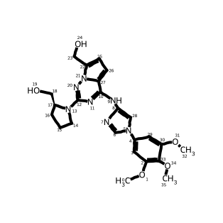 COc1cc(-n2cnc(Nc3nc(N4CCC[C@H]4CO)nn4c(CO)ccc34)c2)cc(OC)c1OC